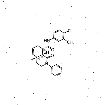 Cc1cc(NC(=O)[C@H]2CC=C[C@H]3CCN(c4ccccc4)C(=O)[C@@H]23)ccc1Cl